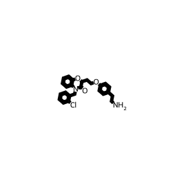 NCCc1ccc(OCCC2Oc3ccccc3N(Cc3ccccc3Cl)C2=O)cc1